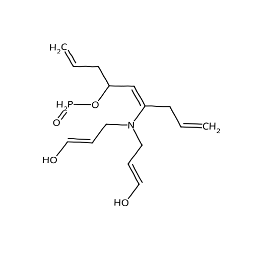 C=CCC(=CC(CC=C)O[PH2]=O)N(CC=CO)CC=CO